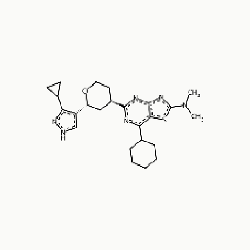 CN(C)c1nc2nc([C@@H]3CCO[C@@H](c4c[nH]nc4C4CC4)C3)nc(C3CCCCC3)c2s1